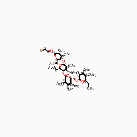 CC(=O)OC[C@H]1O[C@H](OC[C@H]2O[C@H](O[C@H]3[C@H](OC(C)=O)[C@@H](OC(C)=O)[C@@H](O[C@H]4[C@H](OC(C)=O)[C@@H](OC(C)=O)[C@@H](OCCBr)O[C@@H]4COC(C)=O)O[C@@H]3COC(C)=O)[C@H](OC(C)=O)[C@@H](OC(C)=O)[C@@H]2OC(C)=O)[C@H](OC(C)=O)[C@@H](OC(C)=O)[C@@H]1OC(C)=O